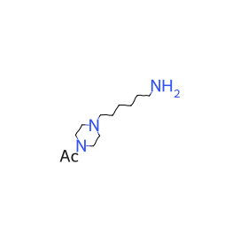 CC(=O)N1CCN(CCCCCCN)CC1